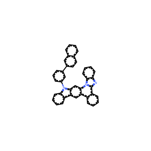 c1cc(-c2ccc3ccccc3c2)cc(-n2c3ccccc3c3cc4c5ccccc5c5nc6ccccc6n5c4cc32)c1